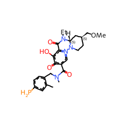 CCN1C(=O)c2c(O)c(=O)c(C(=O)N(C)Cc3ccc(P)cc3C)cn2N2CC[C@H](COC)C[C@@H]12